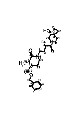 C[C@H]1C(=O)N(CCC(F)C(=O)N2CCC3(CC3)[C@H](O)C2)CCN1C(=O)OCc1ccccc1